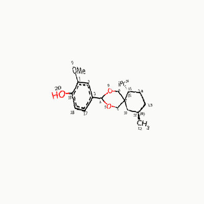 COc1cc(C2OCC3(CO2)C[C@H](C)CC[C@H]3C(C)C)ccc1O